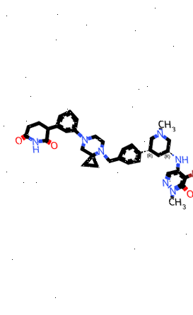 CN1C[C@H](Nc2cnn(C)c(=O)c2Br)C[C@H](c2ccc(CN3CCN(c4cccc(C5CCC(=O)NC5=O)c4)CC34CC4)cc2)C1